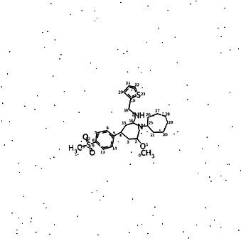 COC1CC(c2ccc(S(C)(=O)=O)cc2)CC(NCc2cccs2)N1C1CCCCCC1